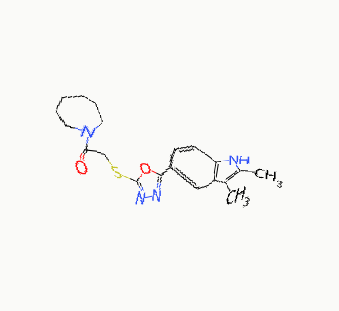 Cc1[nH]c2ccc(-c3nnc(SCC(=O)N4CCCCCC4)o3)cc2c1C